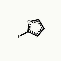 Fc1ccco1